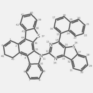 C1=Cc2c(c3c4ccccc4n(-c4nc(-c5cccc6ccccc56)c5sc6ccccc6c5n4)c3c3sc4ccccc4c23)CC1